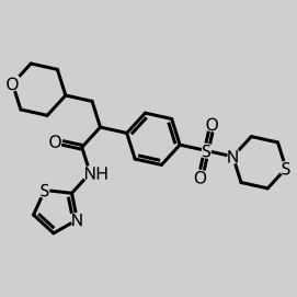 O=C(Nc1nccs1)C(CC1CCOCC1)c1ccc(S(=O)(=O)N2CCSCC2)cc1